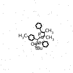 CC1=C(c2ccccc2)[P@@]2C[C@]1(C)[C@H](c1ccccc1)C2[C@@H](N[S+]([O-])C(C)(C)C)c1ccc(C)cc1